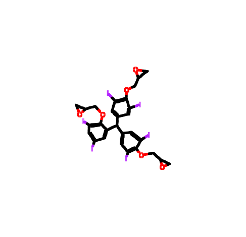 Ic1cc(I)c(OCC2CO2)c(C(c2cc(I)c(OCC3CO3)c(I)c2)c2cc(I)c(OCC3CO3)c(I)c2)c1